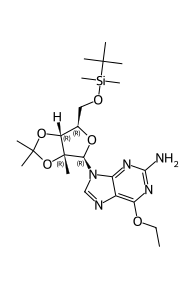 CCOc1nc(N)nc2c1ncn2[C@@H]1O[C@H](CO[Si](C)(C)C(C)(C)C)[C@H]2OC(C)(C)O[C@]21C